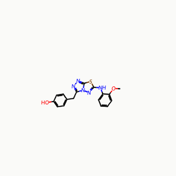 COc1ccccc1Nc1nn2c(Cc3ccc(O)cc3)nnc2s1